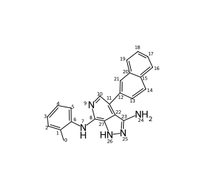 Cc1ccccc1Nc1ncc(-c2ccc3ccccc3c2)c2c(N)n[nH]c12